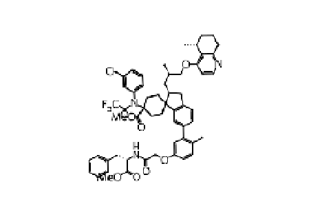 COC(=O)[C@H](Cc1ccccc1)NC(=O)COc1ccc(C)c(-c2ccc3c(c2)C2(CCC(C(=O)OC)(N(C(=O)C(F)(F)F)c4cccc(Cl)c4)CC2)[C@@H](C[C@@H](C)COc2ccnc4c2[C@H](C)CCC4)C3)c1